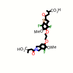 COc1c(OCCCOc2c(OC)c(F)c3sc(C(=O)CC(C)C(=O)O)cc3c2F)cc2c(c1F)CN(C(=O)CC(C)C(=O)O)C2